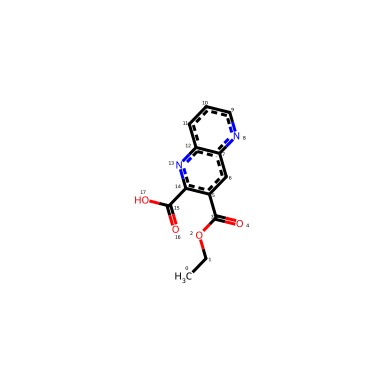 CCOC(=O)c1cc2ncccc2nc1C(=O)O